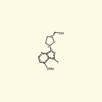 COc1ncnc2c1c(I)nn2[C@H]1CC[C@@H](CO)O1